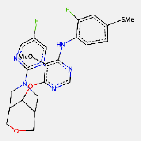 COc1c(Nc2ccc(SC)cc2F)ncnc1OC1C2COCC1CN(c1ncc(F)cn1)C2